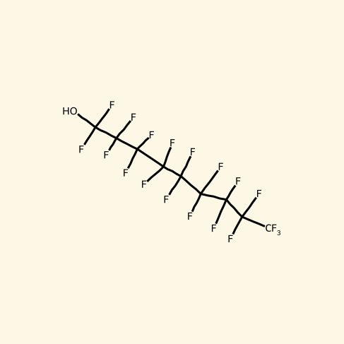 OC(F)(F)C(F)(F)C(F)(F)C(F)(F)C(F)(F)C(F)(F)C(F)(F)C(F)(F)C(F)(F)F